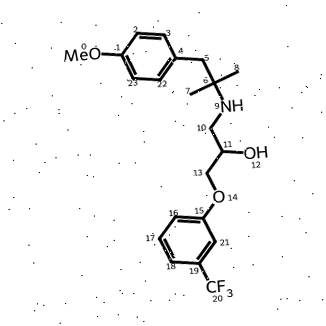 COc1ccc(CC(C)(C)NCC(O)COc2cccc(C(F)(F)F)c2)cc1